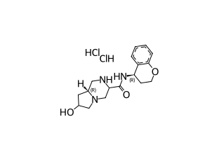 Cl.Cl.O=C(N[C@@H]1CCOc2ccccc21)C1CN2CC(O)C[C@@H]2CN1